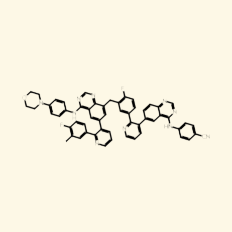 Cc1cc(-c2ncccc2-c2cc(Cc3cc(-c4ncccc4-c4ccc5ncnc(Nc6ccc(C#N)cc6)c5c4)ccc3F)c3ncnc(Nc4ccc(N5CCOCC5)cc4)c3c2)ccc1F